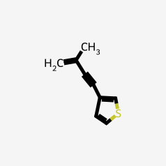 C=C(C)C#Cc1ccsc1